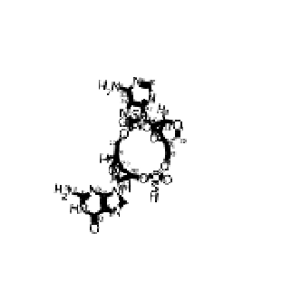 Nc1nc2c(ncn2[C@@H]2O[C@@H]3COP(=O)(S)O[C@H]4[C@H]5OC[C@]4(COP(=O)(S)O[C@@H]2[C@@H]3F)O[C@H]5n2cnc3c(N)ncnc32)c(=O)[nH]1